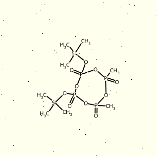 C[Si](C)(C)OP1(=O)OP(C)(=O)OP(C)(=O)OP(=O)(O[Si](C)(C)C)O1